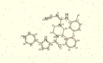 Cc1ccccc1N/C(=N/C#N)N1CCN(C(=O)c2csc(-c3ccncc3)n2)C(c2ccccc2)C1